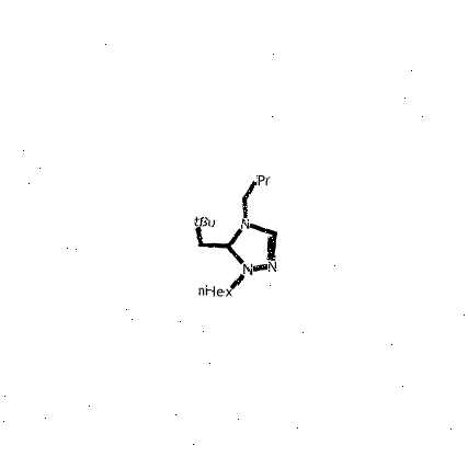 CCCCCCN1N=CN(CC(C)C)C1CC(C)(C)C